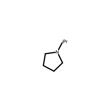 CC(C)N1[CH]CCC1